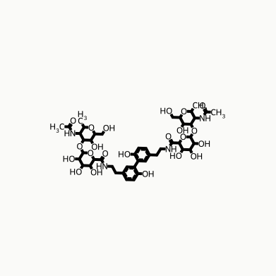 CC(=O)NC1C(C)OC(CO)C(O)C1OC1OC(C(=O)NCCc2ccc(O)c(-c3cc(CCNC(=O)C4OC(OC5C(O)C(CO)OC(C)C5NC(C)=O)C(O)C(O)C4O)ccc3O)c2)C(O)C(O)C1O